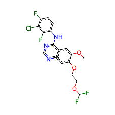 COc1cc2c(Nc3ccc(F)c(Cl)c3F)ncnc2cc1OCCOC(F)F